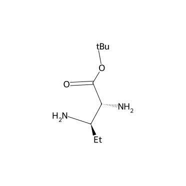 CC[C@@H](N)[C@@H](N)C(=O)OC(C)(C)C